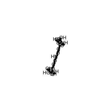 CC(=O)NC1C(O)[C@@H](O)C(CO)O[C@H]1OCCOCCOCCNCCOCCOCCO[C@@H]1OC(CO)C2(O)C(O)C2C1NC(C)=O